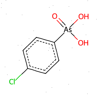 O=[As](O)(O)c1ccc(Cl)cc1